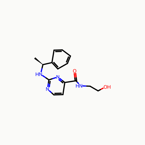 C[C@H](Nc1nccc(C(=O)NCCO)n1)c1ccccc1